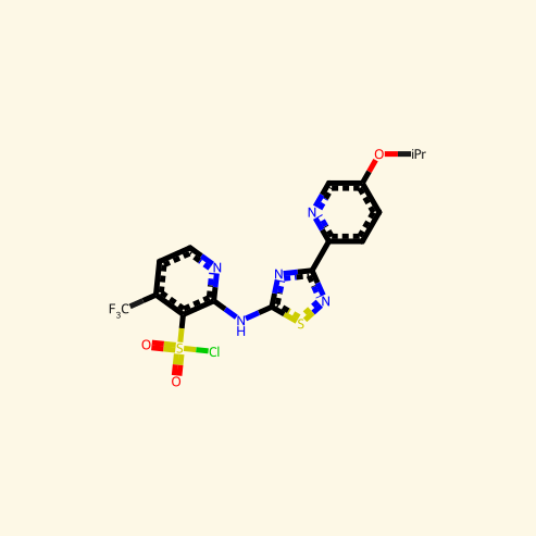 CC(C)Oc1ccc(-c2nsc(Nc3nccc(C(F)(F)F)c3S(=O)(=O)Cl)n2)nc1